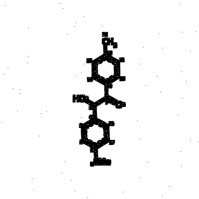 CSc1ccc(C(O)C(=O)c2ccc(C)cc2)cc1